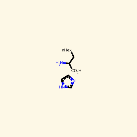 CCCCCCCC(N)C(=O)O.c1c[nH]cn1